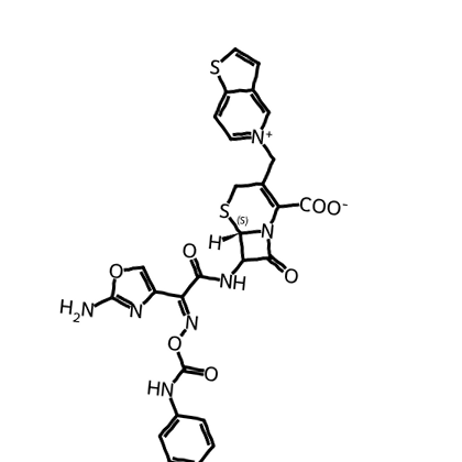 Nc1nc(C(=NOC(=O)Nc2ccccc2)C(=O)NC2C(=O)N3C(C(=O)[O-])=C(C[n+]4ccc5sccc5c4)CS[C@@H]23)co1